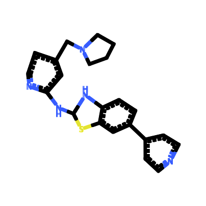 c1cc(-c2ccc3c(c2)SC(Nc2cc(CN4CCCC4)ccn2)N3)ccn1